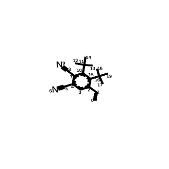 C=Cc1cc(C#N)c(C#N)c(C(C)(C)C)c1C(C)(C)C